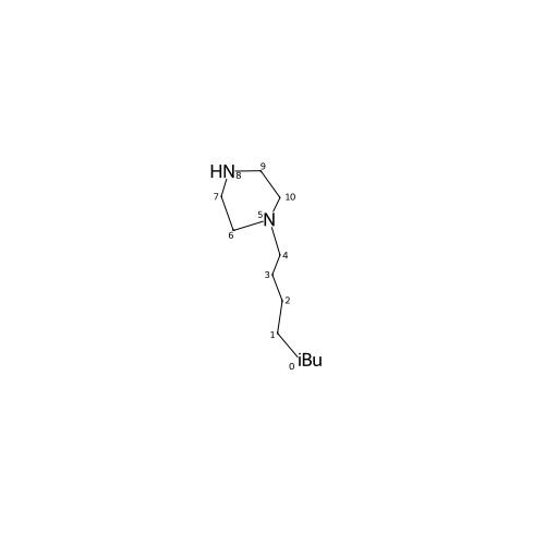 CCC(C)CCCCN1CCNCC1